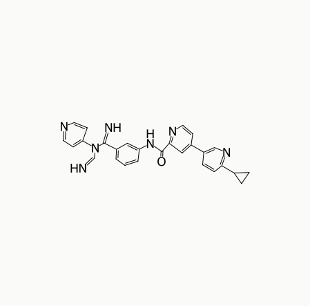 N=CN(C(=N)c1cccc(NC(=O)c2cc(-c3ccc(C4CC4)nc3)ccn2)c1)c1ccncc1